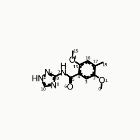 COc1cc(C(=O)Nc2nc[nH]n2)c(OC)cc1C